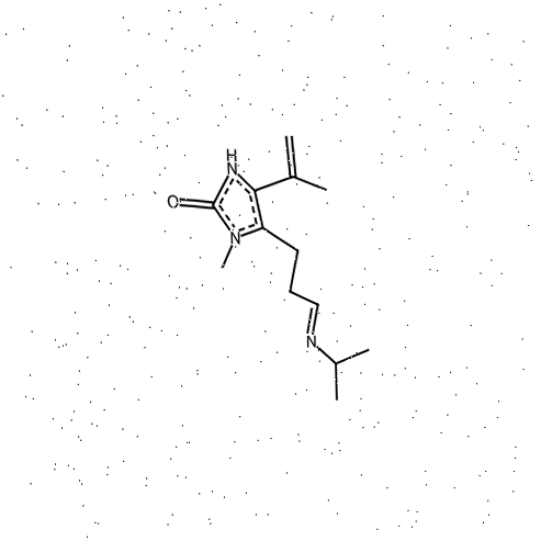 C=C(C)c1[nH]c(=O)n(C)c1CC/C=N/C(C)C